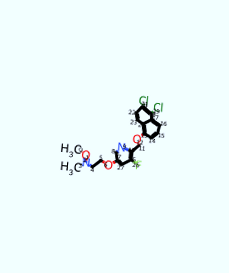 CON(C)CCOc1cnc(COc2cccc3c(Cl)c(Cl)ccc23)c(F)c1